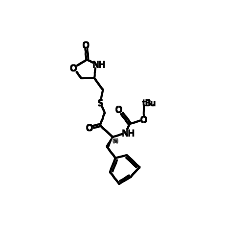 CC(C)(C)OC(=O)N[C@@H](Cc1ccccc1)C(=O)CSCC1COC(=O)N1